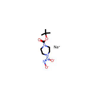 CC(C)(C)OC(=O)N1CCN([N+]([O-])=N[O-])CC1.[Na+]